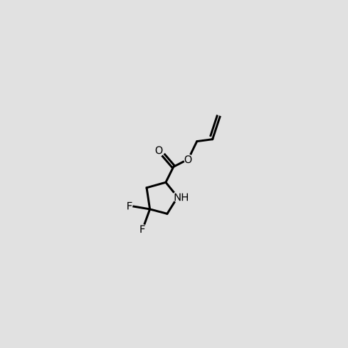 C=CCOC(=O)C1CC(F)(F)CN1